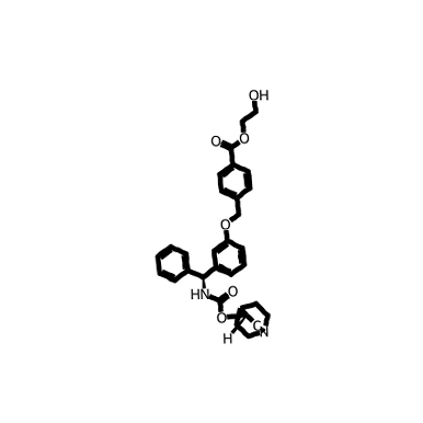 O=C(N[C@@H](c1ccccc1)c1cccc(OCc2ccc(C(=O)OCCO)cc2)c1)O[C@H]1CN2CCC1CC2